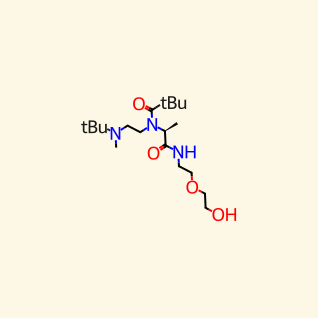 C[C@@H](C(=O)NCCOCCO)N(CCN(C)C(C)(C)C)C(=O)C(C)(C)C